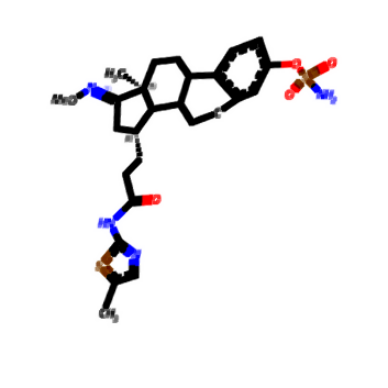 CO/N=C1\C[C@@H](CCC(=O)Nc2ncc(C)s2)C2C3CCc4cc(OS(N)(=O)=O)ccc4C3CC[C@]12C